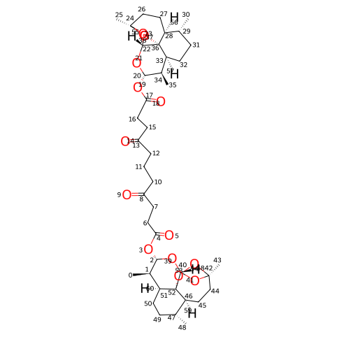 C[C@H]1[C@H](OC(=O)CCC(=O)CCCC(=O)CCC(=O)O[C@@H]2O[C@@H]3O[C@]4(C)CC[C@H]5[C@H](C)CC[C@@H]([C@H]2C)[C@@]35OO4)O[C@@H]2O[C@]3(C)CC[C@H]4[C@H](C)CC[C@@H]1[C@@]24OO3